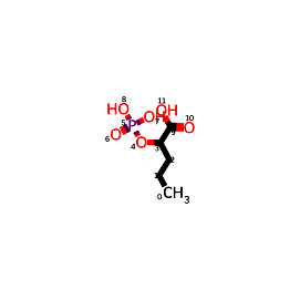 CCCC(OP(=O)(O)O)C(=O)O